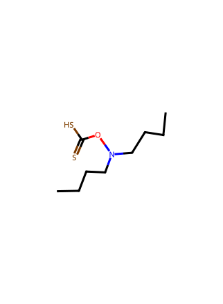 CCCCN(CCCC)OC(=S)S